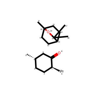 CC(C)[C@H]1CC[C@H](C)CC1=O.CC12CCC(CC1)C(C)(C)O2